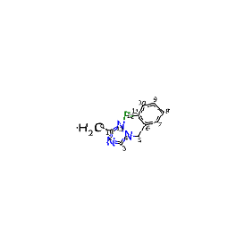 [CH2]c1ncn(Cc2ccccc2F)n1